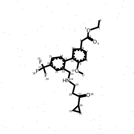 CCOC(=O)Cc1ccc(OC)c(-c2ccc(C(F)(F)F)cc2CNCCC(=O)C2CC2)c1